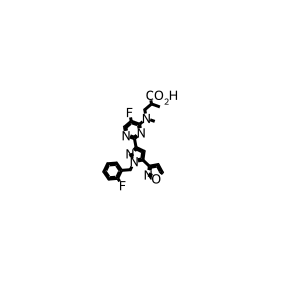 CC(CN(C)c1nc(-c2cc(-c3ccon3)n(Cc3ccccc3F)n2)ncc1F)C(=O)O